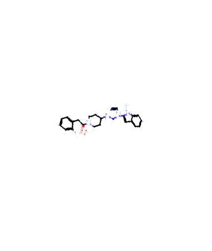 COc1ccccc1CC(=O)N1CCC(N2C=CN(c3cc4ccccc4[nH]3)C2)CC1